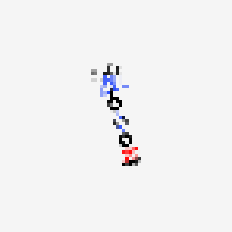 CCC(CC)N/C=N\C(=N)c1ccc(N2CCN(c3ccc(B4OC(C)(C)C(C)(C)O4)cc3)CC2)cc1